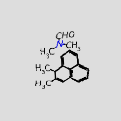 CC1=Cc2cccc3cccc(c23)C1C.CN(C)C=O